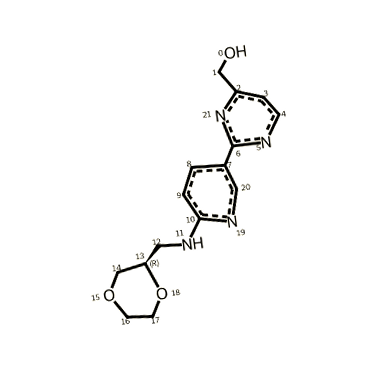 OCc1ccnc(-c2ccc(NC[C@@H]3COCCO3)nc2)n1